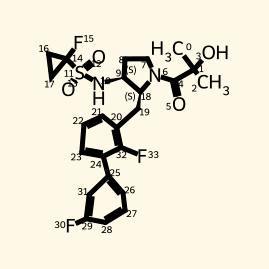 CC(C)(O)C(=O)N1CC[C@H](NS(=O)(=O)C2(F)CC2)[C@@H]1Cc1cccc(-c2cccc(F)c2)c1F